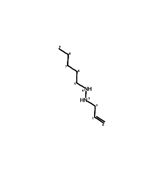 C=CCNNCCCCC